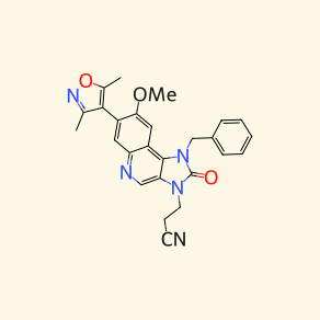 COc1cc2c(cc1-c1c(C)noc1C)ncc1c2n(Cc2ccccc2)c(=O)n1CCC#N